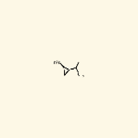 CCCC1CC1C(C)C(F)(F)F